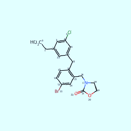 O=C(O)Cc1cc(Cl)cc(Cc2ccc(Br)cc2CN2CCOC2=O)c1